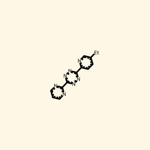 CCc1ccc(-c2nnc(-c3ncccn3)nn2)nc1